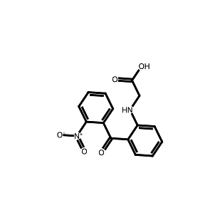 O=C(O)CNc1ccccc1C(=O)c1ccccc1[N+](=O)[O-]